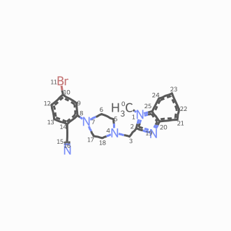 Cn1c(CN2CCN(c3cc(Br)ccc3C#N)CC2)nc2ccccc21